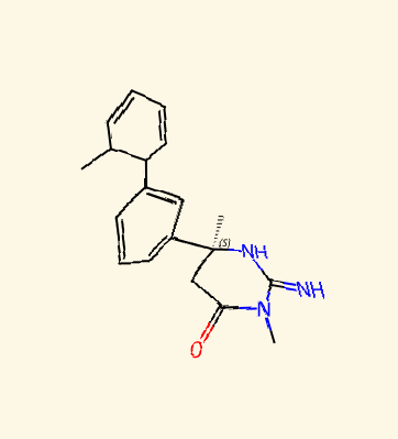 CC1C=CC=CC1c1cccc([C@]2(C)CC(=O)N(C)C(=N)N2)c1